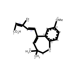 CCC(=C/C(=O)O)/C=C/C1=CC(C)(C)COc2ccc(OC)cc21